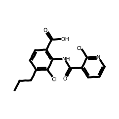 CCCc1ccc(C(=O)O)c(NC(=O)c2cccnc2Cl)c1Cl